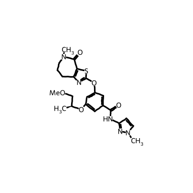 COC[C@H](C)Oc1cc(Oc2nc3c(s2)C(=O)N(C)CCC3)cc(C(=O)Nc2ccn(C)n2)c1